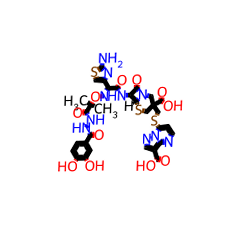 CC(C)(ON=C(C(=O)NC1C(=O)N2CC(CSc3ccnc4c(C(=O)O)cnn34)(C(=O)O)CS[C@H]12)c1csc(N)n1)C(=O)NNC(=O)c1ccc(O)c(O)c1